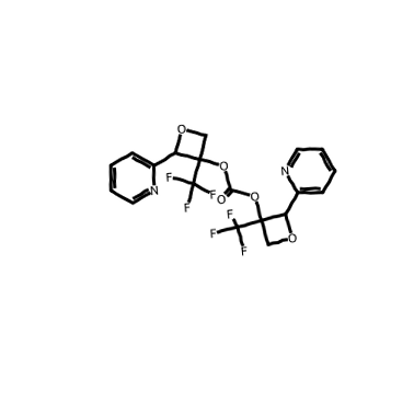 O=C(OC1(C(F)(F)F)COC1c1ccccn1)OC1(C(F)(F)F)COC1c1ccccn1